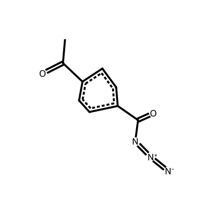 CC(=O)c1ccc(C(=O)N=[N+]=[N-])cc1